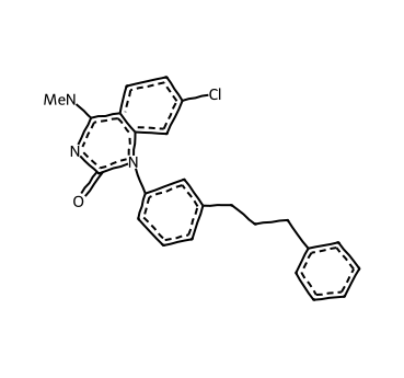 CNc1nc(=O)n(-c2cccc(CCCc3ccccc3)c2)c2cc(Cl)ccc12